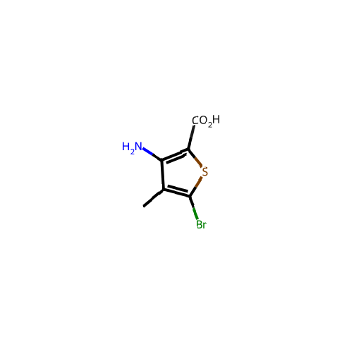 Cc1c(Br)sc(C(=O)O)c1N